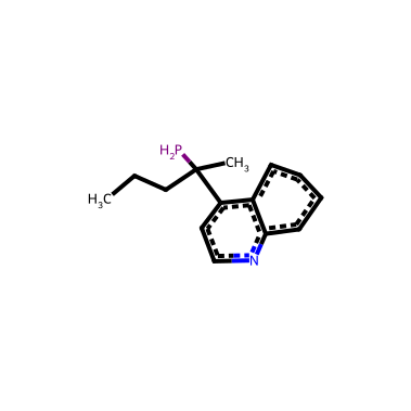 CCCC(C)(P)c1ccnc2ccccc12